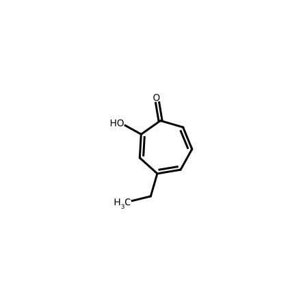 CCc1cccc(=O)c(O)c1